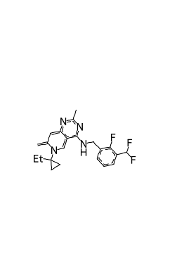 C=C1C=c2nc(C)nc(NCc3cccc(C(F)F)c3F)c2=CN1C1(CC)CC1